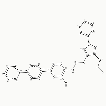 CCOc1cc(-c2ccccc2)nn1CCOc1ccc(-c2ccc(-c3ccccc3)cc2)cc1Cl